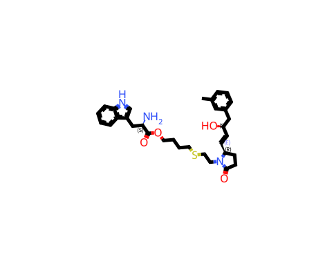 Cc1cccc(C[C@H](O)/C=C/[C@H]2CCC(=O)N2CCSCCCCOC(=O)[C@@H](N)Cc2c[nH]c3ccccc23)c1